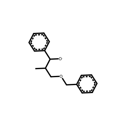 CC(COCc1ccccc1)C([O])c1ccccc1